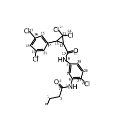 CCCC(=O)Nc1cc(NC(=O)C2C(c3cc(Cl)cc(Cl)c3)C2(Cl)Cl)ccc1Cl